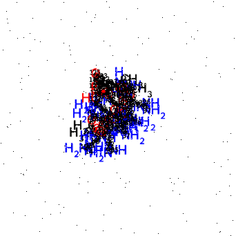 CC(=O)[C@H](C)NC(=O)[C@H](CCCNC(=N)N)NC(=O)[C@H](CCCNC(=N)N)NC(=O)[C@H](CCCNC(=N)N)NC(=O)[C@H](CCC(N)=O)NC(=O)[C@H](CCCNC(=N)N)NC(=O)[C@H](CCCNC(=N)N)NC(=O)[C@H](CCCCN)NC(=O)[C@H](CCCCN)CC(=O)[C@H](CCCNC(=N)N)NC(=O)[C@H](C)NC(=O)[C@H](C)NC(=O)[C@H](C)NC(=O)c1ccc(-c2c3ccc(=O)cc-3oc3cc(O)ccc23)c(C(=O)O)c1